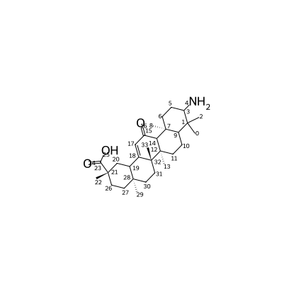 CC1(C)C(N)CC[C@@]2(C)C1CC[C@]1(C)C2C(=O)C=C2C3C[C@@](C)(C(=O)O)CC[C@]3(C)CC[C@]21C